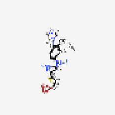 CN1CCN(c2ccc(Nc3cc(-c4ccc(Br)s4)n[nH]3)cc2C(F)(F)F)CC1